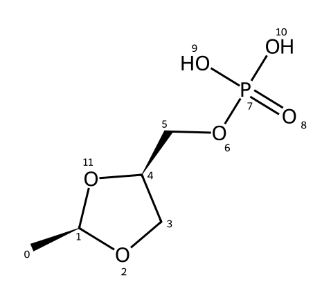 C[C@@H]1OC[C@H](COP(=O)(O)O)O1